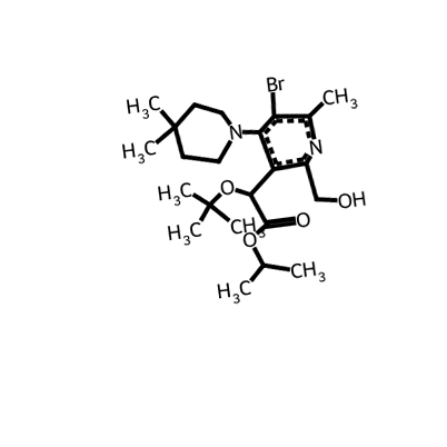 Cc1nc(CO)c(C(OC(C)(C)C)C(=O)OC(C)C)c(N2CCC(C)(C)CC2)c1Br